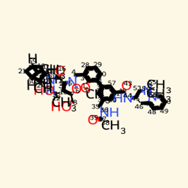 COc1c(CN2O[C@@H](CO)[C@H]([C@H](C)O)[C@H]2C(=O)N[C@H]2C[C@H]3C[C@@H]([C@@H]2C)C3(C)C)cccc1-c1cc(CNC(C)=O)cc(C(=O)N[C@@H](Cc2ccccn2)CN(C)C)c1